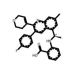 Cc1cc([C@@H](C)Nc2ccccc2C(=O)O)c2cc(-c3ccc(F)cc3)c(C3=CCOCC3)nc2c1